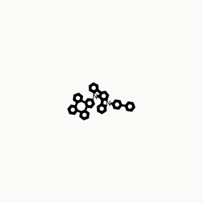 c1ccc(-c2ccc(-n3c4ccccc4c4c3ccc3c5ccccc5n(-c5ccc6c(c5)-c5ccccc5-c5ccccc5-c5ccccc5-6)c34)cc2)cc1